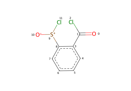 O=C(Cl)c1ccccc1[S+]([O-])Cl